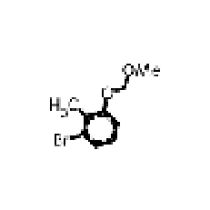 COCOc1cccc(Br)c1C